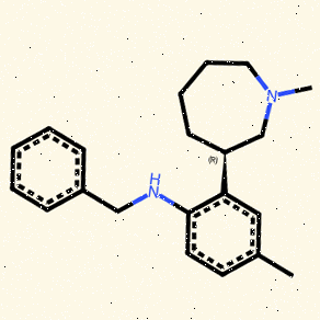 Cc1ccc(NCc2ccccc2)c([C@H]2CCCCN(C)C2)c1